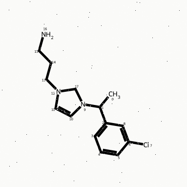 CC(c1cccc(Cl)c1)N1C=CN(CCCN)C1